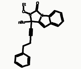 CCCCC1(C#CCCc2ccccc2)c2cc3ccccc3n2C(=O)N1OCC